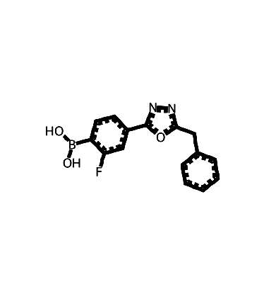 OB(O)c1ccc(-c2nnc(Cc3ccccc3)o2)cc1F